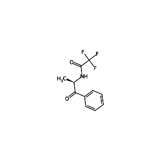 C[C@@H](NC(=O)C(F)(F)F)C(=O)c1ccccc1